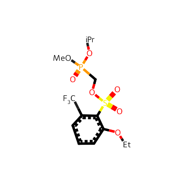 CCOc1cccc(C(F)(F)F)c1S(=O)(=O)OCP(=O)(OC)OC(C)C